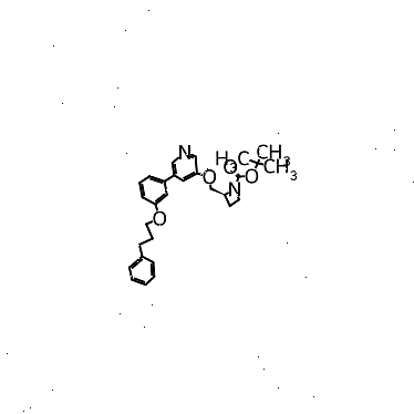 CC(C)(C)OC(=O)N1CC[C@H]1COc1cncc(-c2cccc(OCCCc3ccccc3)c2)c1